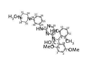 COc1ccc(OC)c(C(c2c(C)cccc2C)N(C(=O)O)c2ccnc(Nc3cccc(N4CCN(C)CC4)c3)n2)c1